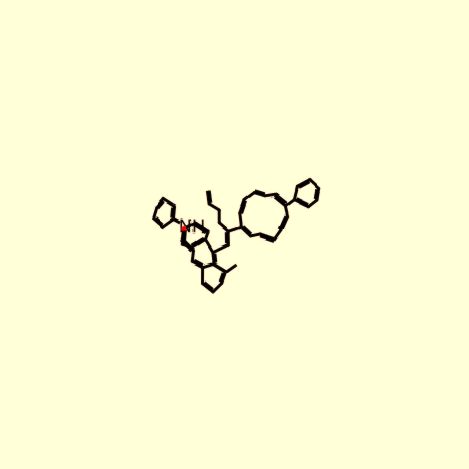 C=CCCC(=C\C(c1ccccc1)=c1/c(C)ccc/c1=C/C=C/Nc1ccccc1)/C1=C/C=C/C=C\C(c2ccccc2)=C/C=C/C=C\1